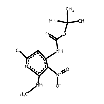 CNc1nc(Cl)cc(NC(=O)OC(C)(C)C)c1[N+](=O)[O-]